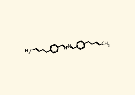 CC=CCCc1ccc(C=NN=Cc2ccc(CCC=CC)cc2)cc1